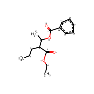 CCCC(C(=O)OCC)C(C)OC(=O)c1ccccc1